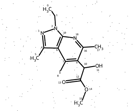 CCn1nc(C)c2c(I)c(C(O)C(=O)OC)c(C)nc21